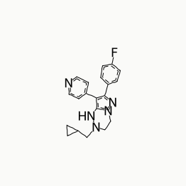 Fc1ccc(-c2nn3c(c2-c2ccncc2)NN(CC2CC2)CC3)cc1